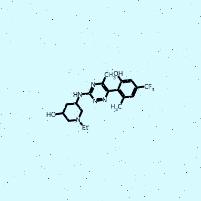 CCN1CC(O)CC(Nc2nnc(-c3c(C)cc(C(F)(F)F)cc3O)c(C)n2)C1